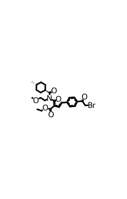 CCOC(=O)c1cc(-c2ccc(C(=O)CBr)cc2)oc1N(CCOC)C(=O)[C@H]1CC[C@H](C)CC1